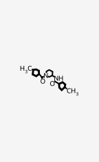 Cc1ccc(C(=O)NC2CCCN(C(=O)c3ccc(C)cc3)C2)cc1